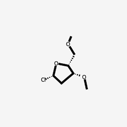 COC[C@H]1O[C@@H](Cl)C[C@H]1OC